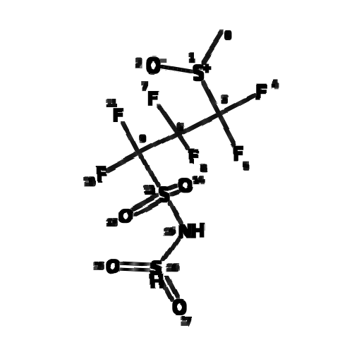 C[S+]([O-])C(F)(F)C(F)(F)C(F)(F)S(=O)(=O)N[SH](=O)=O